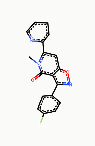 Cn1c(-c2ccccn2)cc2onc(-c3ccc(F)cc3)c2c1=O